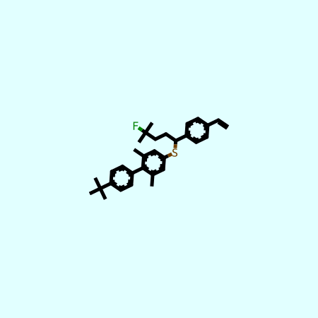 C=Cc1ccc(C(CCC(C)(C)F)Sc2cc(C)c(-c3ccc(C(C)(C)C)cc3)c(C)c2)cc1